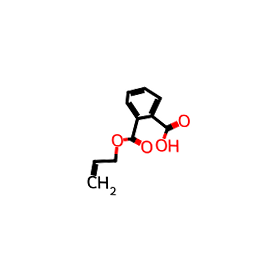 C=CCOC(=O)c1ccccc1C(=O)O